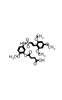 COc1cc(OC)c(C=CS(=O)(=O)Nc2ccc(OC)c(OC(=O)CCC(=O)O)c2)c(OC)c1